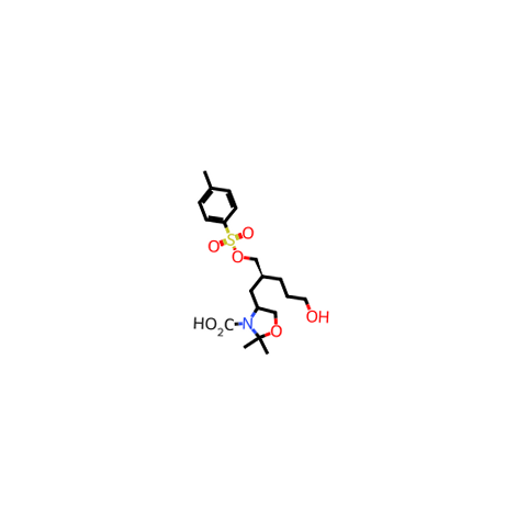 Cc1ccc(S(=O)(=O)OC[C@@H](CCCO)CC2COC(C)(C)N2C(=O)O)cc1